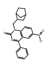 O=c1nc(-c2ccccc2)c2cc([N+](=O)[O-])ccc2n1CC1CC2CCC1C2